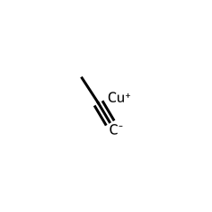 [C-]#CC.[Cu+]